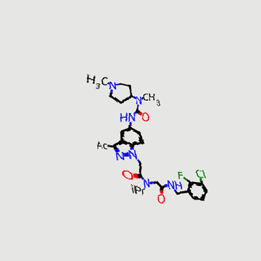 CC(=O)c1nn(CC(=O)N(CC(=O)NCc2cccc(Cl)c2F)C(C)C)c2ccc(NC(=O)N(C)C3CCN(C)CC3)cc12